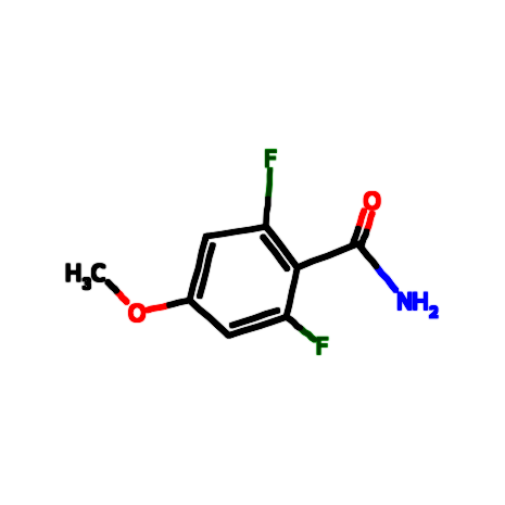 COc1cc(F)c(C(N)=O)c(F)c1